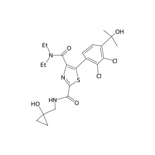 CCN(CC)C(=O)c1nc(C(=O)NCC2(O)CC2)sc1-c1ccc(C(C)(C)O)c(Cl)c1Cl